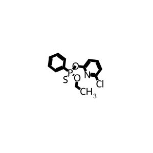 CCOP(=S)(Oc1cccc(Cl)n1)c1ccccc1